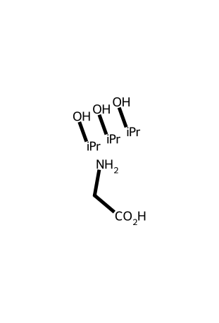 CC(C)O.CC(C)O.CC(C)O.NCC(=O)O